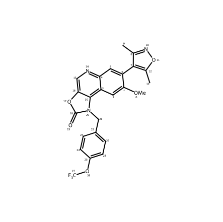 COc1cc2c(cc1-c1c(C)noc1C)ncc1oc(=O)n(Cc3ccc(OC(F)(F)F)cc3)c12